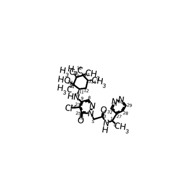 CC(NC(=O)Cn1ncc(N[C@@H]2C[C@H](C)C(C)(C)[C@H](C)[C@]2(C)O)c(Cl)c1=O)c1ccnnc1